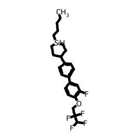 CCCCC[SiH]1CCC(c2ccc(-c3ccc(OCC(F)(F)C(F)F)c(F)c3)cc2)CC1